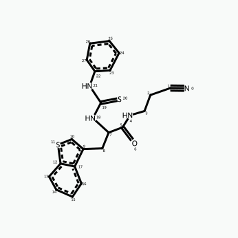 N#CCCNC(=O)C(Cc1csc2ccccc12)NC(=S)Nc1ccccc1